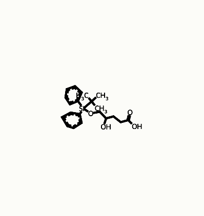 CC(C)(C)[Si](OCC(O)CCC(=O)O)(c1ccccc1)c1ccccc1